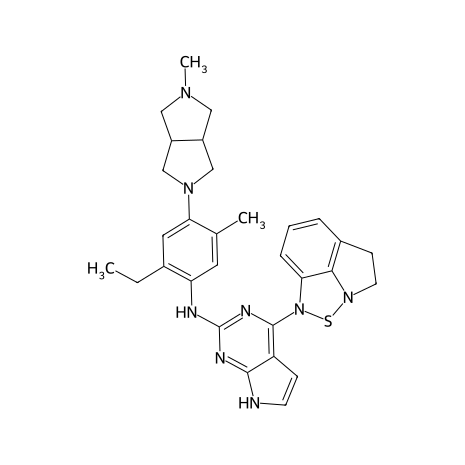 CCc1cc(N2CC3CN(C)CC3C2)c(C)cc1Nc1nc(N2SN3CCc4cccc2c43)c2cc[nH]c2n1